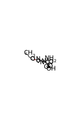 CCCCc1ccc(-c2ccc(/N=N/c3cc(S(=O)(=O)O)c4ccccc4c3N)cn2)cc1